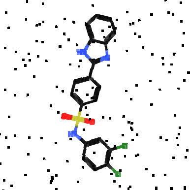 O=S(=O)(Nc1ccc(Cl)c(Cl)c1)c1ccc(-c2nc3ccccc3[nH]2)cc1